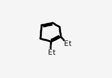 CCC1=C(CC)CC=CC1